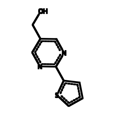 OCc1cnc(-c2cccs2)nc1